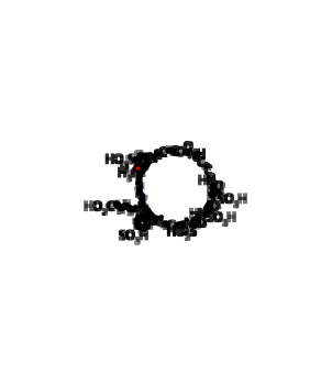 CC1(C)C/C=C/C=C/C=C2\N(CCCCCC(=O)O)c3ccc(S(=O)(=O)O)cc3C2(C)CCCCCC(=O)NC(CS(=O)(=O)O)C(=O)NC(CS(=O)(=O)O)C(=O)NC(CS(=O)(=O)O)C(=O)NCCCCCNC(=O)CCCCCNc2ccc(S(=O)(=O)O)cc21